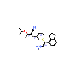 C\C=C/C(=C\C(C#N)=C(/C)OC(C)C)CS/C(=C\NC)c1cccc2c1CCC2